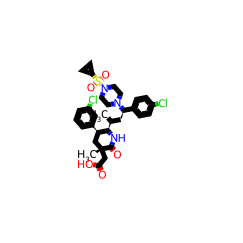 CC(C[C@@H](c1ccc(Cl)cc1)N1CCN(S(=O)(=O)C2CC2)CC1)[C@@H]1NC(=O)[C@](C)(CC(=O)O)C[C@@H]1c1cccc(Cl)c1